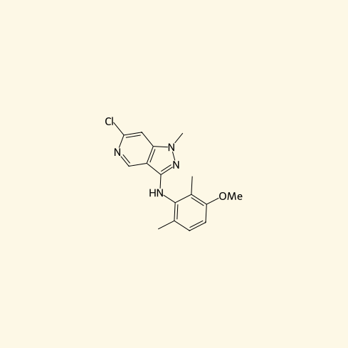 COc1ccc(C)c(Nc2nn(C)c3cc(Cl)ncc23)c1C